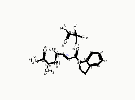 CC[C@@H](/C=C/C(=O)N1CCc2ccccc21)N[C@@H](C)C(N)=O.O=C(O)C(F)(F)F